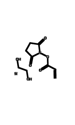 C=CC(=O)ON1C(=O)CCC1=O.OCCO.[Si]